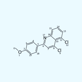 COc1ccc(-c2cc(Cl)c3c(Cl)cccc3n2)cc1